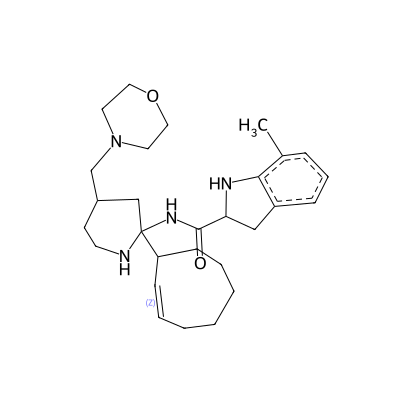 Cc1cccc2c1NC(C(=O)NC1(C3/C=C\CCCCC3)CC(CN3CCOCC3)CCN1)C2